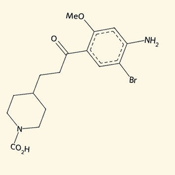 COc1cc(N)c(Br)cc1C(=O)CCC1CCN(C(=O)O)CC1